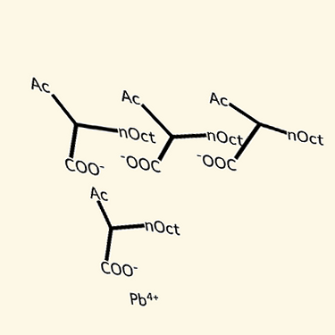 CCCCCCCCC(C(C)=O)C(=O)[O-].CCCCCCCCC(C(C)=O)C(=O)[O-].CCCCCCCCC(C(C)=O)C(=O)[O-].CCCCCCCCC(C(C)=O)C(=O)[O-].[Pb+4]